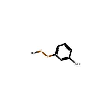 CCC(C)SSc1cccc(N=O)c1